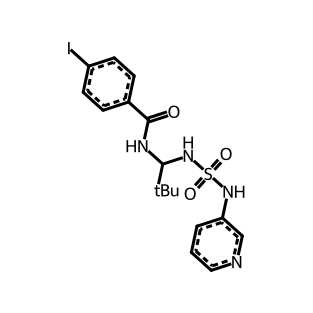 CC(C)(C)C(NC(=O)c1ccc(I)cc1)NS(=O)(=O)Nc1cccnc1